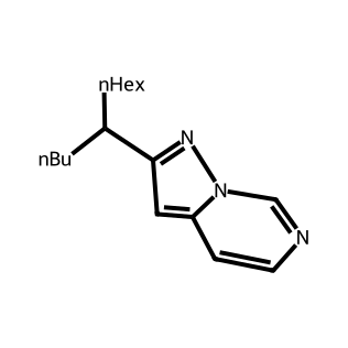 CCCCCCC(CCCC)c1cc2ccncn2n1